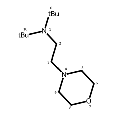 CC(C)(C)N(CCN1CCOCC1)C(C)(C)C